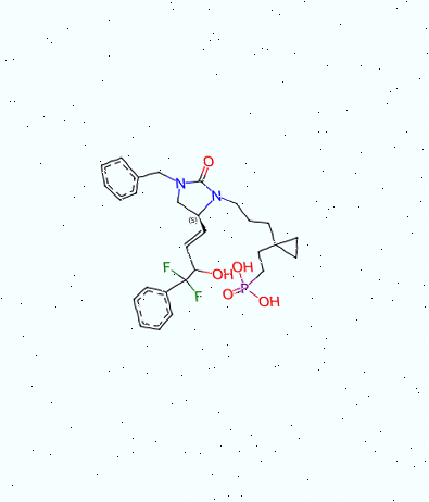 O=C1N(Cc2ccccc2)C[C@H](C=CC(O)C(F)(F)c2ccccc2)N1CCCC1(CCP(=O)(O)O)CC1